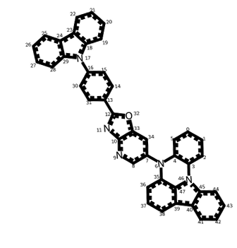 c1ccc2c(c1)N(c1cnc3nc(-c4ccc(-n5c6ccccc6c6ccccc65)cc4)oc3c1)c1cccc3c4ccccc4n-2c13